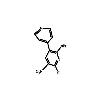 CCCc1nc(Cl)c([N+](=O)[O-])cc1-c1ccncc1